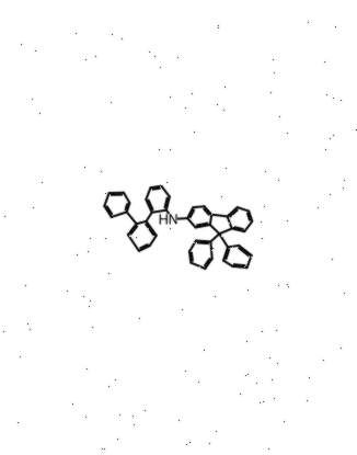 c1ccc(-c2ccccc2-c2ccccc2Nc2ccc3c(c2)C(c2ccccc2)(c2ccccc2)c2ccccc2-3)cc1